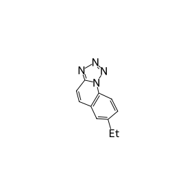 CCc1ccc2c(ccc3nnnn32)c1